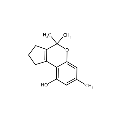 Cc1cc(O)c2c(c1)OC(C)(C)C1=C2CCC1